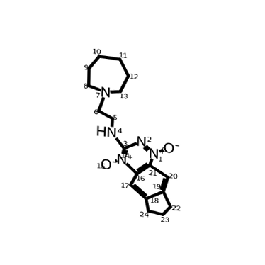 [O-][n+]1nc(NCCN2CCCCCC2)[n+]([O-])c2cc3c(cc21)CCC3